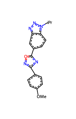 COc1ccc(-c2noc(-c3ccc4c(c3)nnn4C(C)C)n2)cc1